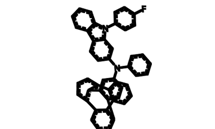 Fc1ccc(-n2c3ccccc3c3ccc(N(c4ccccc4)c4ccc5c(c4)-c4c6cccc4-c4cccc-5c4-c4ccccc4-6)cc32)cc1